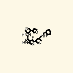 Fc1c(-c2cncc(CNCc3ccccc3)c2)ncc2[nH]nc(-c3nc4c(-c5ccoc5)cncc4[nH]3)c12